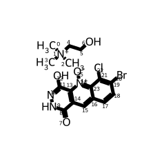 C[N+](C)(C)CCO.O=c1[nH]nc(O)c2c1cc1ccc(Br)c(Cl)c1[n+]2[O-]